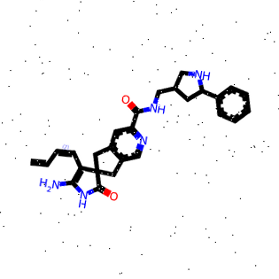 C=C/C=C\C1=C(N)NC(=O)C12Cc1cnc(C(=O)NCC3CNC(c4ccccc4)C3)cc1C2